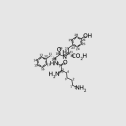 NCCCC[C@@H](N)C(=O)N[C@H](Cc1ccccc1)C(=O)N[C@H](Cc1ccc(O)cc1)C(=O)O